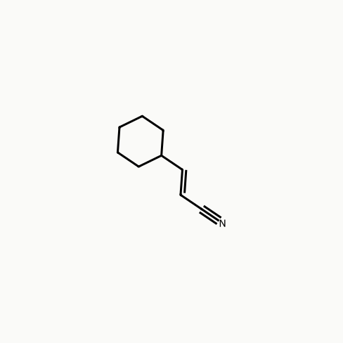 N#CC=CC1CCCCC1